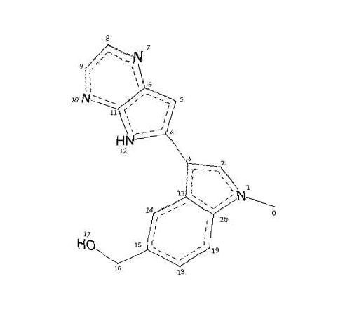 Cn1cc(-c2cc3nccnc3[nH]2)c2cc(CO)ccc21